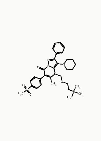 Cc1c(-c2ccc(S(C)(=O)=O)cc2)c(=O)n2nc(-c3ccccc3)c(N3CCCCC3)c2n1COCC[Si](C)(C)C